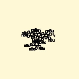 CCCCOCC1O[C@H](OCC2O[C@@H](O[C@@H]3C(COCCCC)O[C@@H](OCCCC)[C@@H](C)C3OCCCC)[C@H](OCCCC)C(O[C@@H]3OC(COCCCC)[C@H](OCCCC)C(OCCCC)[C@@H]3OC(C)=O)[C@@H]2O)[C@H](OC(C)=O)C(OCCCC)[C@@H]1OCCCC